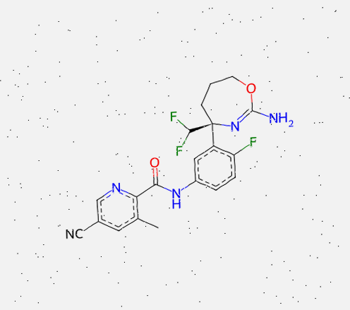 Cc1cc(C#N)cnc1C(=O)Nc1ccc(F)c([C@]2(C(F)F)CCCOC(N)=N2)c1